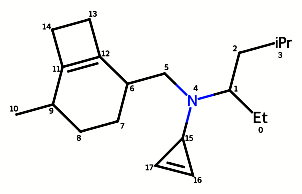 CCC(CC(C)C)N(CC1CCC(C)C2=C1CC2)C1C=C1